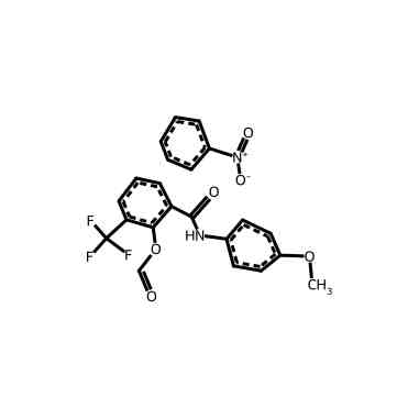 COc1ccc(NC(=O)c2cccc(C(F)(F)F)c2OC=O)cc1.O=[N+]([O-])c1ccccc1